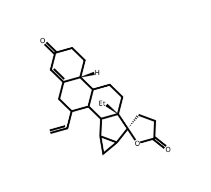 C=CC1CC2=CC(=O)CC[C@@H]2C2CC[C@@]3(CC)C(C4CC4[C@@]34CCC(=O)O4)C12